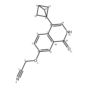 N#CCOc1ccc2c(C34CC(C3)C4)c[nH]c(=O)c2c1